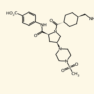 CS(=O)(=O)N1CCN([C@H]2C[C@@H](C(=O)Nc3ccc(C(=O)O)cc3)N(C(=O)[C@H]3CC[C@H](CN)CC3)C2)CC1